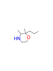 CCCC1(C)OCCNC1C